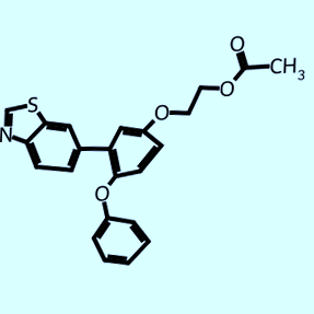 CC(=O)OCCOc1ccc(Oc2ccccc2)c(-c2ccc3ncsc3c2)c1